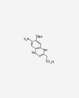 COc1cc(NC(=O)CC(=O)O)c([N+](=O)[O-])cc1[N+](=O)[O-]